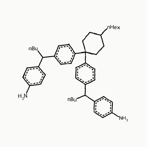 CCCCCCC1CCC(c2ccc(C(CCCC)c3ccc(N)cc3)cc2)(c2ccc(C(CCCC)c3ccc(N)cc3)cc2)CC1